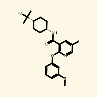 CSc1cccc(Oc2ncc(F)cc2C(=O)N[C@H]2CC[C@@H](C(C)(C)O)CC2)c1